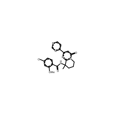 COc1cc(Cl)ccc1C(=O)NC1(C)CCCn2c1nc(-c1ccncn1)cc2=O